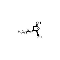 C#CC1OC(O)CC1OCOC